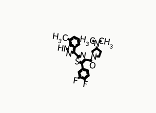 Cc1cccc2c(-c3nc(C(=O)N4CCC(N(C)C)C4)c(-c4ccc(F)c(F)c4)s3)n[nH]c12